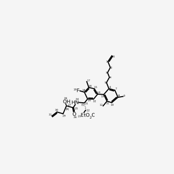 C=CCCCCc1cc(C)cc(C)c1-c1cc(C)c(F)c([C@H](CC(=O)OCC)NC(=O)[C@H](O)CC=C)c1